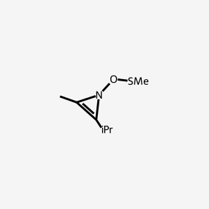 CSON1C(C)=C1C(C)C